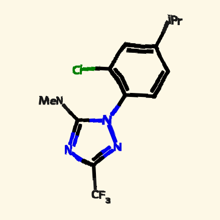 CNc1nc(C(F)(F)F)nn1-c1ccc(C(C)C)cc1Cl